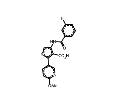 COc1ccc(-c2scc(NC(=O)c3cccc(F)c3)c2C(=O)O)cn1